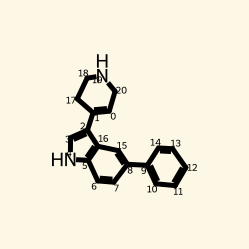 C1=C(c2c[nH]c3ccc(-c4ccccc4)cc23)CCNC1